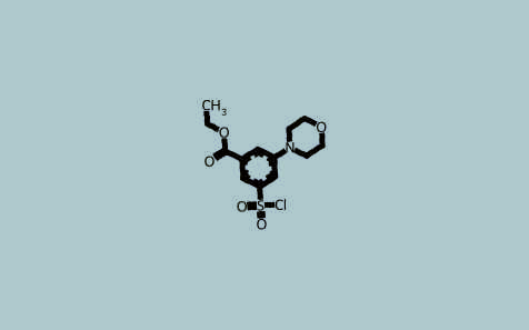 CCOC(=O)c1cc(N2CCOCC2)cc(S(=O)(=O)Cl)c1